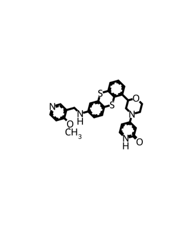 COc1ccncc1CNc1ccc2c(c1)Sc1cccc(C3CN(c4cc[nH]c(=O)c4)CCO3)c1S2